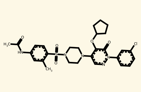 CC(=O)Nc1ccc(S(=O)(=O)N2CCN(c3cnn(-c4cccc(Cl)c4)c(=O)c3OC3CCCC3)CC2)c(C)c1